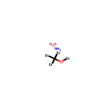 CCOC(CC)(CC)CC.N.O